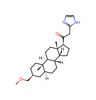 COC[C@H]1CC[C@@]2(C)[C@@H](CC[C@H]3[C@H]4CC[C@H](C(=O)Cc5ncc[nH]5)[C@@]4(C)CC[C@@H]32)C1